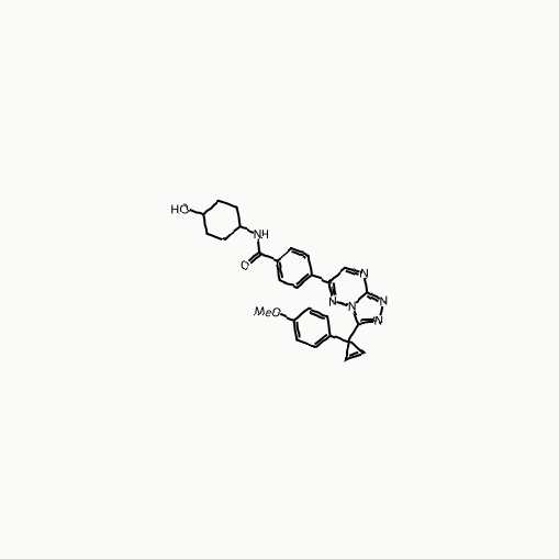 COc1ccc(C2(c3nnc4ncc(-c5ccc(C(=O)NC6CCC(O)CC6)cc5)nn34)C=C2)cc1